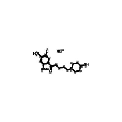 COc1cc(N)c(Cl)cc1C(=O)CCCCN1CCC(O)CC1.Cl